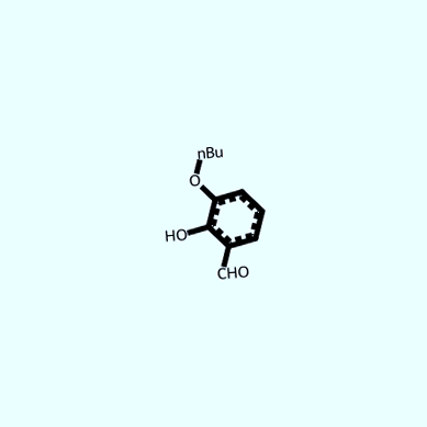 CCCCOc1cccc(C=O)c1O